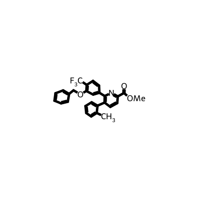 COC(=O)c1ccc(-c2ccccc2C)c(-c2ccc(C(F)(F)F)c(OCc3ccccc3)c2)n1